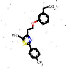 CCCc1sc(-c2ccc(C(F)(F)F)cc2)nc1CCOc1cccc(CC(=O)O)c1